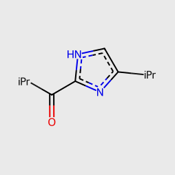 CC(C)C(=O)c1nc(C(C)C)c[nH]1